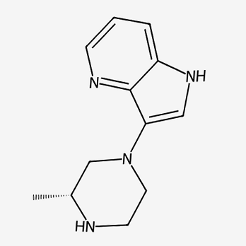 C[C@@H]1CN(c2c[nH]c3cccnc23)CCN1